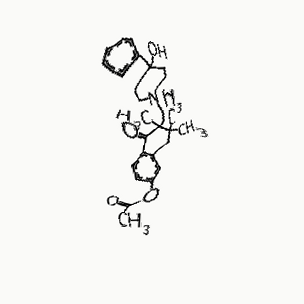 CC(=O)Oc1ccc2c(c1)CC(C)(C)C(C)(CN1CCC(O)(c3ccccc3)CC1)C2=O